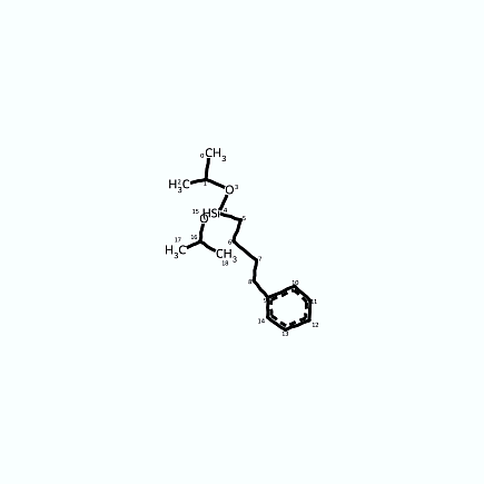 CC(C)O[SiH](CCCCc1ccccc1)OC(C)C